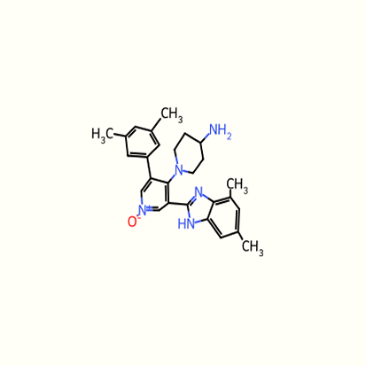 Cc1cc(C)cc(-c2c[n+]([O-])cc(-c3nc4c(C)cc(C)cc4[nH]3)c2N2CCC(N)CC2)c1